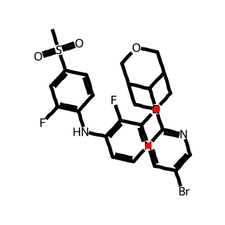 CS(=O)(=O)c1ccc(Nc2ccnc(OC3C4COCC3CN(c3ncc(Br)cn3)C4)c2F)c(F)c1